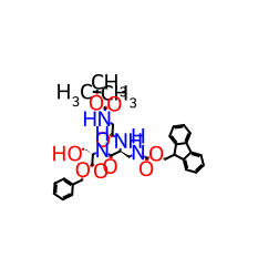 CC(C)(C)OC(=O)NCC(=O)N[C@@H](CNC(=O)OCC1c2ccccc2-c2ccccc21)C(=O)N[C@@H](CO)C(=O)OCc1ccccc1